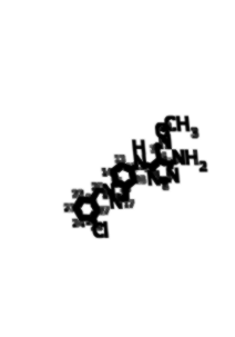 CO/N=C/c1c(N)ncnc1Nc1ccc2c(cnn2Cc2cccc(Cl)c2)c1